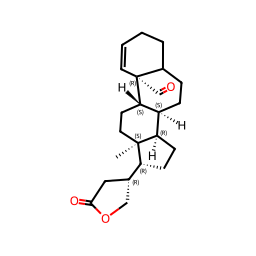 C[C@]12CC[C@H]3[C@@H](CCC4CCC=C[C@@]43C=O)[C@H]1CC[C@@H]2[C@@H]1COC(=O)C1